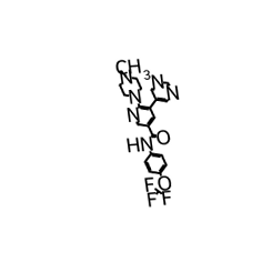 CN1CCN(c2ncc(C(=O)Nc3ccc(OC(F)(F)F)cc3)cc2-c2cncnc2)CC1